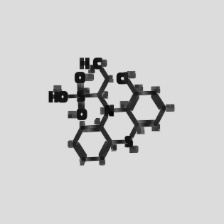 CCC(N1c2ccccc2Sc2cccc(Cl)c21)S(=O)(=O)O